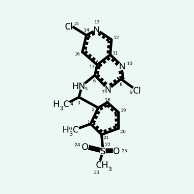 Cc1c(C(C)Nc2nc(Cl)nc3cnc(Cl)cc23)cccc1S(C)(=O)=O